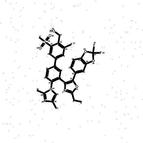 CCc1nc(-c2cc(-c3cc(F)c(CO)c(S(C)(=O)=O)c3)ccc2-n2cc(C)nc2C)c(-c2ccc3c(c2)OC(F)(F)O3)o1